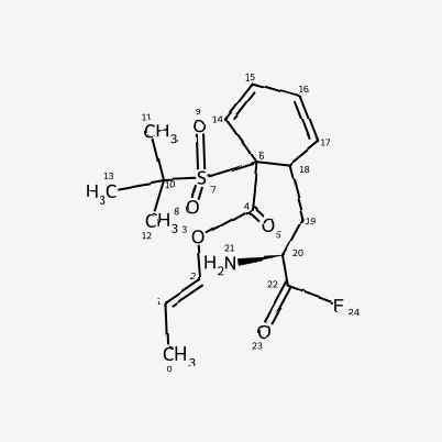 CC=COC(=O)C1(S(=O)(=O)C(C)(C)C)C=CC=CC1C[C@H](N)C(=O)F